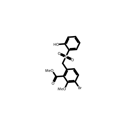 COC(=O)c1c(CS(=O)(=O)c2ccccc2O)ccc(Br)c1OC